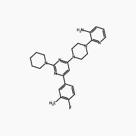 Cc1cc(-c2cc(N3CCN(c4ncccc4N)CC3)nc(N3CCCCC3)n2)ccc1F